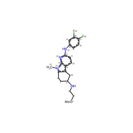 COCCNC1CCc2c(c3ccc(Nc4ccc(F)c(F)c4)nc3n2C)C1